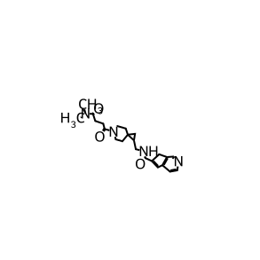 CN(C)C(=O)CCC(=O)N1CCC2(CC1)CC2CNC(=O)C1=Cc2ccncc2C1